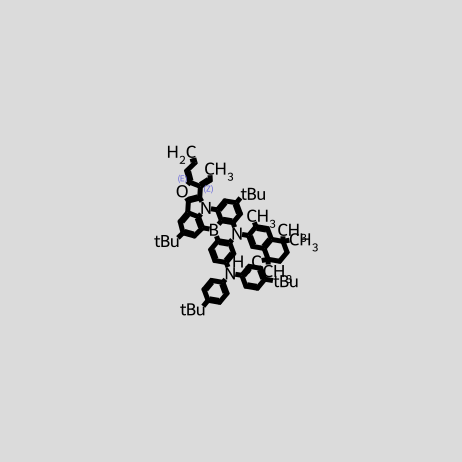 C=C/C=c1/oc2c3cc(C(C)(C)C)cc4c3n(c2/c1=C/C)-c1cc(C(C)(C)C)cc2c1B4c1ccc(N(c3ccc(C(C)(C)C)cc3)c3ccc(C(C)(C)C)cc3)cc1N2c1cc2c(cc1C)C(C)(C)CCC2(C)C